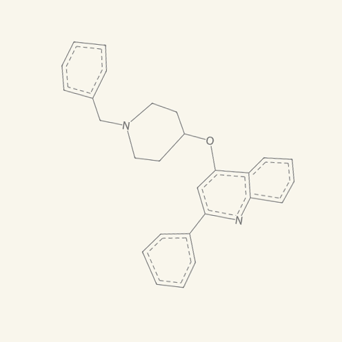 c1ccc(CN2CCC(Oc3cc(-c4ccccc4)nc4ccccc34)CC2)cc1